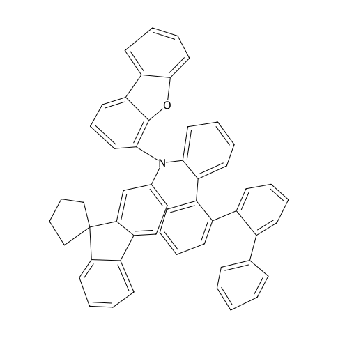 c1ccc(-c2ccccc2-c2ccccc2-c2ccccc2N(c2ccc3c(c2)C2(CCCC2)c2ccccc2-3)c2cccc3c2oc2ccccc23)cc1